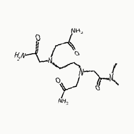 CN(C)C(=O)CN(CCN(CC(N)=O)CC(N)=O)CC(N)=O